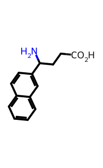 NC(CCC(=O)O)c1ccc2ccccc2c1